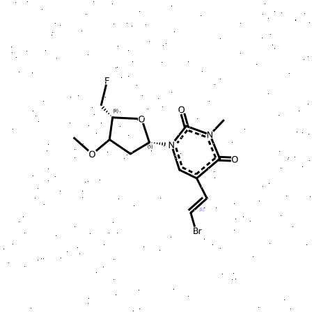 COC1C[C@@H](n2cc(/C=C/Br)c(=O)n(C)c2=O)O[C@H]1CF